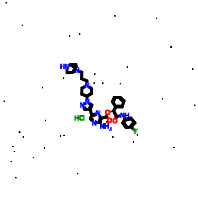 Cl.Nc1ncc(-c2cnn(C3CCN(CCCN4CC5CC4CN5)CC3)c2)nc1C(=O)O[C@@H](C(=O)Nc1ccc(F)cc1)c1ccccc1